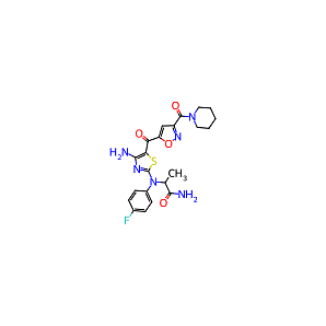 CC(C(N)=O)N(c1ccc(F)cc1)c1nc(N)c(C(=O)c2cc(C(=O)N3CCCCC3)no2)s1